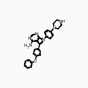 Nc1ncnc2c1c(-c1ccc(Oc3ccccc3)cc1)cn2-c1ccc(N2CCNCC2)cc1